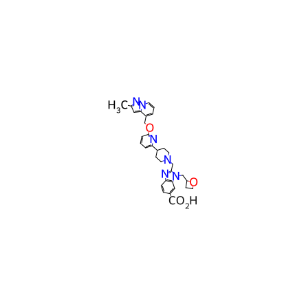 Cc1cc2c(COc3cccc(C4CCN(Cc5nc6ccc(C(=O)O)cc6n5CC5CCO5)CC4)n3)cccn2n1